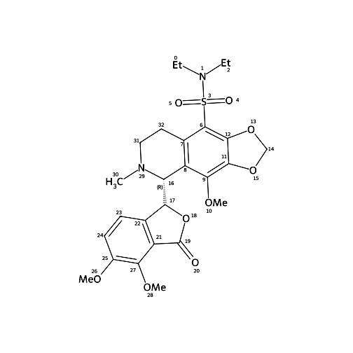 CCN(CC)S(=O)(=O)c1c2c(c(OC)c3c1OCO3)[C@H](C1OC(=O)c3c1ccc(OC)c3OC)N(C)CC2